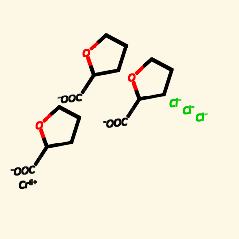 O=C([O-])C1CCCO1.O=C([O-])C1CCCO1.O=C([O-])C1CCCO1.[Cl-].[Cl-].[Cl-].[Cr+6]